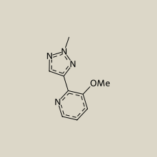 COc1cccnc1-c1cnn(C)n1